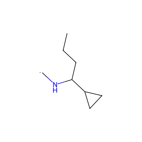 [CH2]NC(CCC)C1CC1